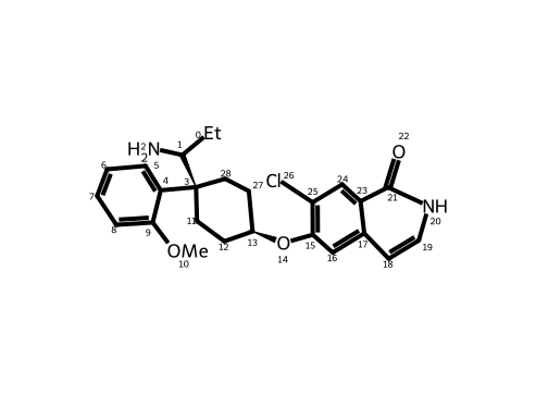 CCC(N)[C@]1(c2ccccc2OC)CC[C@H](Oc2cc3cc[nH]c(=O)c3cc2Cl)CC1